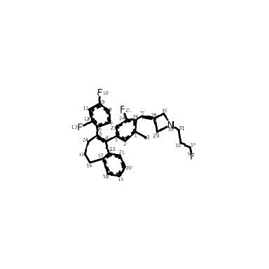 Cc1cc(C2=C(c3ccc(F)cc3F)CCCc3ccccc32)cc(F)c1C=C1CN(CCCF)C1